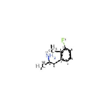 Cc1c(F)cccc1CC(C)N